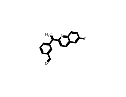 C=C(c1cccc(C=O)c1)c1ccc2cc(F)ccc2n1